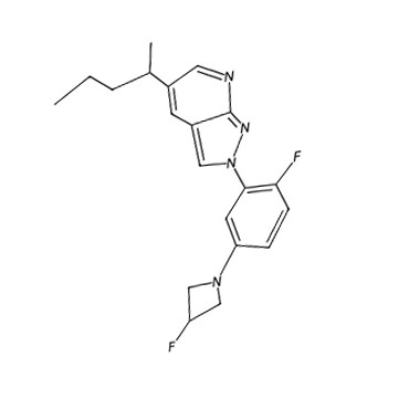 CCCC(C)c1cnc2nn(-c3cc(N4CC(F)C4)ccc3F)cc2c1